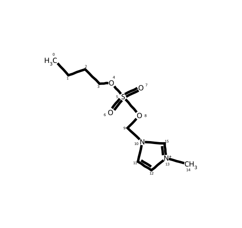 CCCCOS(=O)(=O)OCn1cc[n+](C)c1